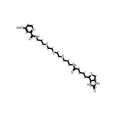 O=Cc1ccnc(C(=O)NCCCOCCOCCOCCCNC(=O)CCCCC2SCC3NC(=O)NC32)c1